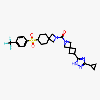 O=C(N1CC2(CCC(S(=O)(=O)c3ccc(C(F)(F)F)cc3)CC2)C1)N1CC2(CC(c3nc(C4CC4)n[nH]3)C2)C1